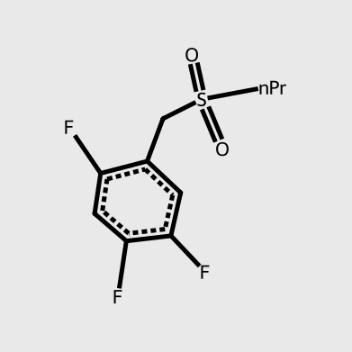 CCCS(=O)(=O)Cc1cc(F)c(F)cc1F